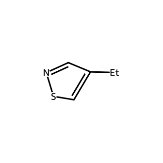 [CH2]Cc1cnsc1